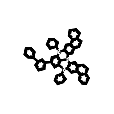 c1ccc(-c2cccc(-c3cc4c5c(c3)N(c3ccccc3)c3cc6c(ccc7ccccc76)cc3B5c3cc5ccc6ccccc6c5cc3N4c3ccccc3)c2)cc1